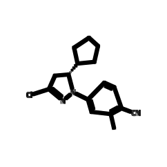 Cc1cc(N2N=C(Cl)C[C@@H]2C2CCCC2)ccc1C#N